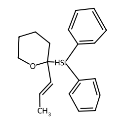 CC=CC1([SiH](c2ccccc2)c2ccccc2)CCCCO1